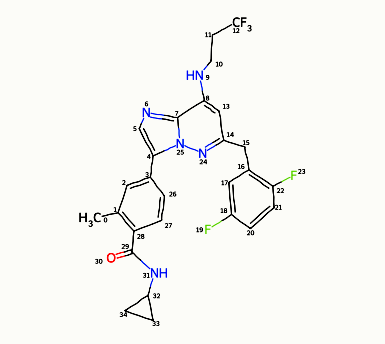 Cc1cc(-c2cnc3c(NCCC(F)(F)F)cc(Cc4cc(F)ccc4F)nn23)ccc1C(=O)NC1CC1